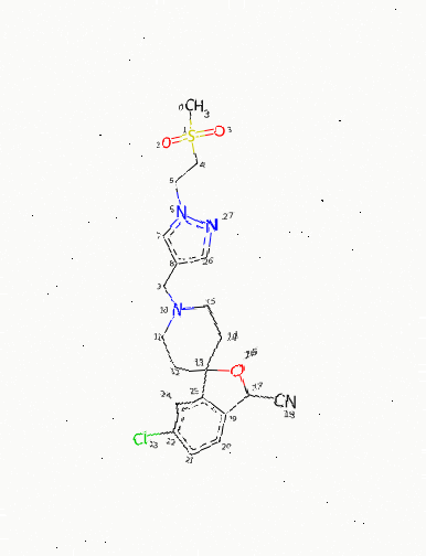 CS(=O)(=O)CCn1cc(CN2CCC3(CC2)OC(C#N)c2ccc(Cl)cc23)cn1